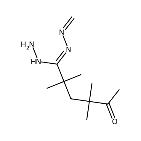 C=N/N=C(\NN)C(C)(C)CC(C)(C)C(C)=O